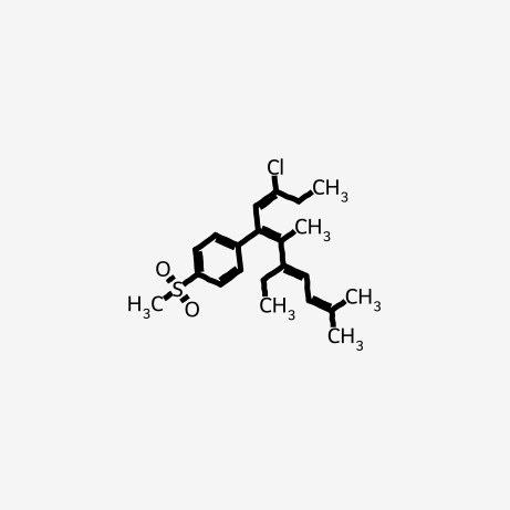 CC\C(Cl)=C/C(=C(C)/C(=C/C=C(C)C)CC)c1ccc(S(C)(=O)=O)cc1